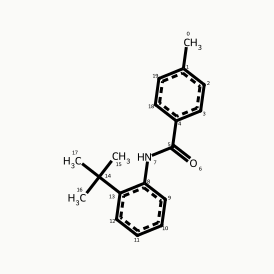 Cc1ccc(C(=O)Nc2ccccc2C(C)(C)C)cc1